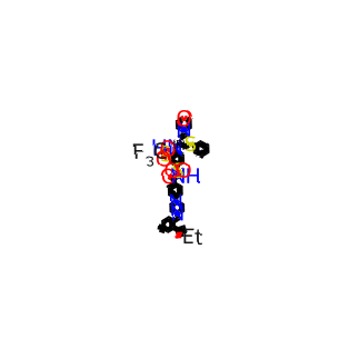 CCC12CC(C3=C(CN4CCN(c5ccc(C(=O)NS(=O)(=O)c6ccc(N[C@H](CCN7CCOCC7)CSc7ccccc7)c(S(=O)(=O)C(F)(F)F)c6)cc5)CC4)CCC(C)(C)C3)(C1)C2